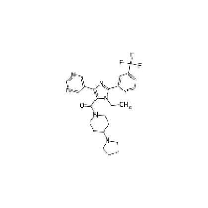 CCn1c(-c2cccc(C(F)(F)F)c2)nc(-c2cncnc2)c1C(=O)N1CCC(N2CCCC2)CC1